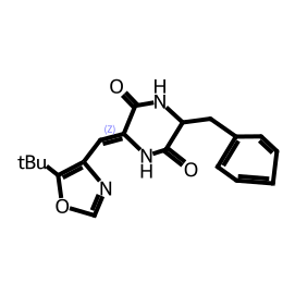 CC(C)(C)c1ocnc1/C=C1\NC(=O)C(Cc2ccccc2)NC1=O